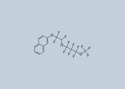 FC(OC(F)(F)C(F)(F)C(F)(F)OC(F)(F)F)C(F)(F)Oc1ccc2ccccc2c1